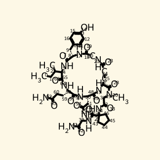 CCC(C)C1NC(=O)[C@H](Cc2ccc(O)cc2)NC(=O)CNC(=O)CCC(C(=O)N(C)CC(=O)NC2(C(=O)NCC(N)=O)CCCC2)NC(=O)[C@H](CC(N)=O)NC(=O)[C@H](CCC(N)=O)NC1=O